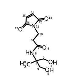 CC(CO)(CO)NC(=O)CCN1C(=O)C=CC1=O